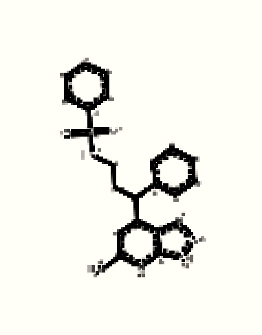 Nc1cc(C(CCNS(=O)(=O)c2ccccc2)c2ccccc2)c2nn[nH]c2n1